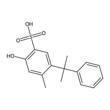 Cc1cc(O)c(S(=O)(=O)O)cc1C(C)(C)c1ccccc1